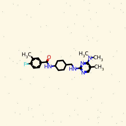 Cc1cc(C(=O)NC2CCC(CNc3ncc(C)c(N(C)C)n3)CC2)ccc1F